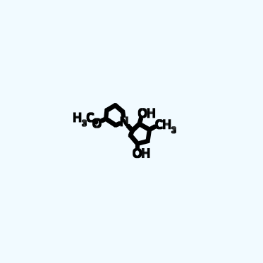 COC1CCCN(C2CC(O)CC(C)C2O)C1